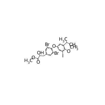 COC(=O)C(O)Cc1cc(Br)c(Oc2cc(I)c(OC)c(C(C)C)c2)c(Br)c1